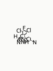 CC1([C@H](c2ccc(C#N)cc2)c2cc(Cl)c(F)c(Cl)c2)C(=O)Nc2nccn21